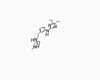 CCc1ncc(Nc2cccc([C@@H](C)CNC(=O)CNC)c2)nc1CC